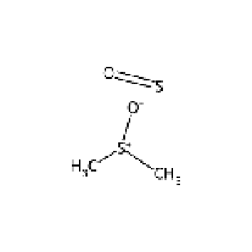 C[S+](C)[O-].O=S